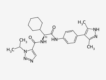 Cc1n[nH]c(C)c1-c1ccc(NC(=O)[C@@H](NC(=O)c2cnnn2C(C)C)C2CCCCC2)cc1